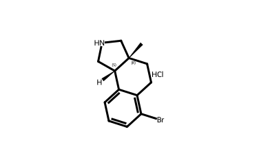 C[C@@]12CCc3c(Br)cccc3[C@@H]1CNC2.Cl